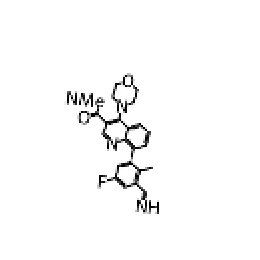 CNC(=O)c1cnc2c(-c3cc(F)cc(C=N)c3C)cccc2c1N1CCOCC1